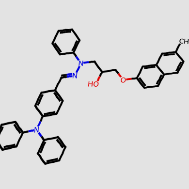 Cc1ccc2ccc(OCC(O)CN(/N=C/c3ccc(N(c4ccccc4)c4ccccc4)cc3)c3ccccc3)cc2c1